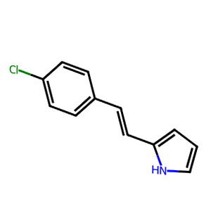 Clc1ccc(C=Cc2ccc[nH]2)cc1